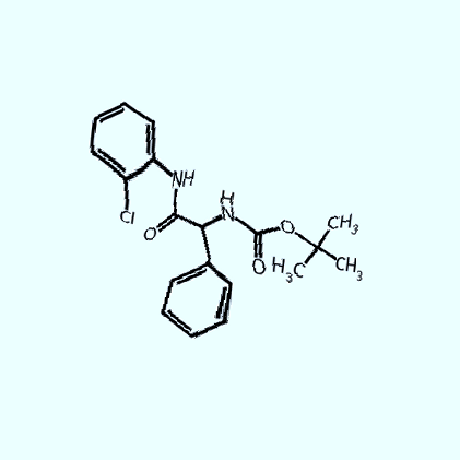 CC(C)(C)OC(=O)NC(C(=O)Nc1ccccc1Cl)c1ccccc1